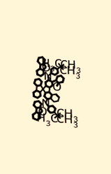 CC(C)(C)c1ccc(N(c2cc3c(c4c2CCC=C4)-c2c(cc(N(c4ccc(C(C)(C)C)cc4)c4cccc5c4oc4ccccc45)c4c2oc2ccccc24)C32c3ccccc3-c3ccccc32)c2cccc3c2oc2ccccc23)cc1